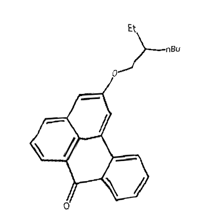 CCCCC(CC)COc1cc2c3c(cccc3c1)C(=O)c1ccccc1-2